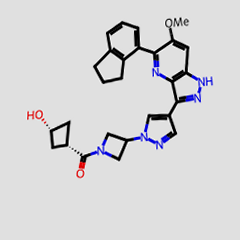 COc1cc2[nH]nc(-c3cnn(C4CN(C(=O)[C@H]5C[C@@H](O)C5)C4)c3)c2nc1-c1cccc2c1CCC2